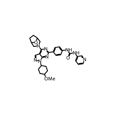 COC1CCC(n2ncc3c(N4CC5CCC(C4)O5)nc(-c4ccc(NC(=O)Nc5cccnc5)cc4)nc32)CC1